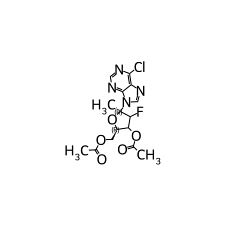 CC(=O)OC[C@H]1O[C@@](C)(n2cnc3c(Cl)ncnc32)C(F)C1OC(C)=O